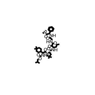 CCCC(NC(=O)[C@@H]1CC(C)(C)CN1C(=O)[C@@H](NC(=O)OCC(C)C)C1CCC(C)(C)CC1)C(=O)C(=O)NCC(=O)NC(C(=O)N(C)C)c1ccccc1